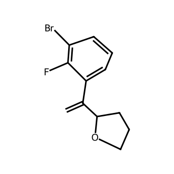 C=C(c1cccc(Br)c1F)C1CCCO1